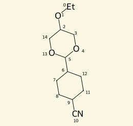 CCOC1COC(C2CCC(C#N)CC2)OC1